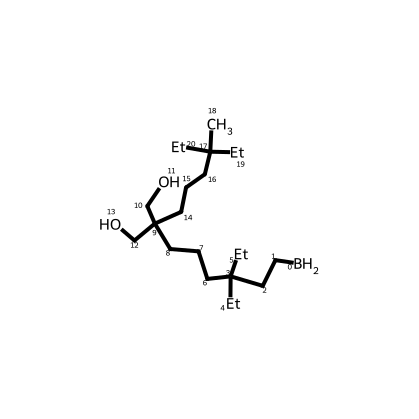 BCCC(CC)(CC)CCCC(CO)(CO)CCCC(C)(CC)CC